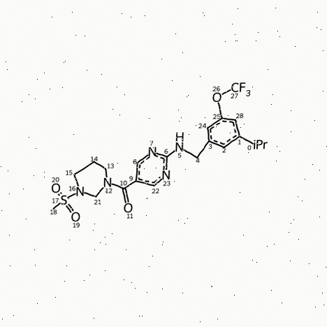 CC(C)c1cc(CNc2ncc(C(=O)N3CCCN(S(C)(=O)=O)C3)cn2)cc(OC(F)(F)F)c1